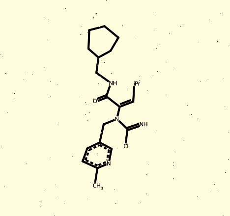 Cc1ccc(CN(C(=N)Cl)/C(=C/C(C)C)C(=O)NCC2CCCCC2)cn1